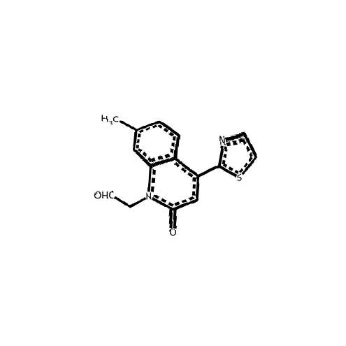 Cc1ccc2c(-c3nccs3)cc(=O)n(CC=O)c2c1